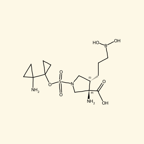 NC1(C2(OS(=O)(=O)N3C[C@H](CCCB(O)O)[C@](N)(C(=O)O)C3)CC2)CC1